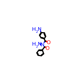 Nc1ccc(C(=O)N(N)C(=O)c2ccccc2)cc1